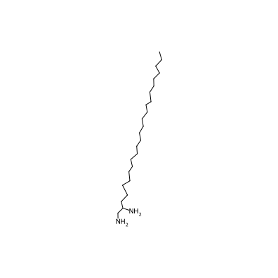 CCCCCCCCCCCCCCCCCCCCCCCC(N)CN